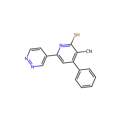 N#Cc1c(-c2ccccc2)cc(-c2ccnnc2)nc1S